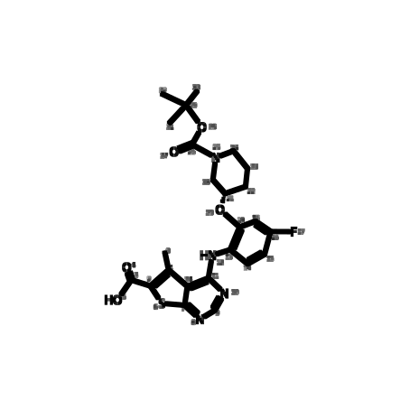 Cc1c(C(=O)O)sc2ncnc(Nc3ccc(F)cc3O[C@H]3CCCN(C(=O)OC(C)(C)C)C3)c12